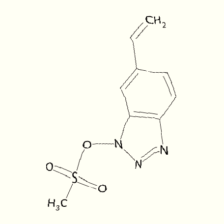 C=Cc1ccc2nnn(OS(C)(=O)=O)c2c1